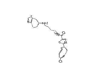 O=C(NCCCCNC1CCc2ncsc2C1)c1cnc(-c2ccc(Cl)cc2)s1